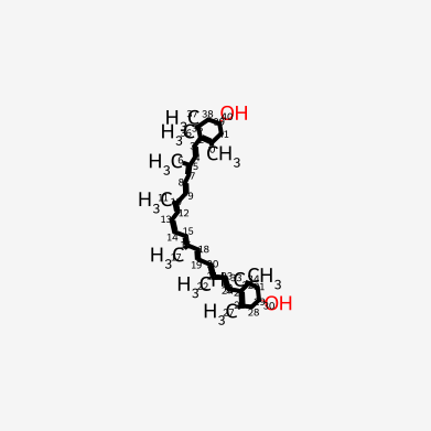 CC1=C(/C=C/C(C)=C/C=C/C(C)=C/C=C\C=C(C)\C=C\C=C(C)\C=C\C2=C(C)C[C@@H](O)CC2(C)C)C(C)(C)C[C@H](O)C1